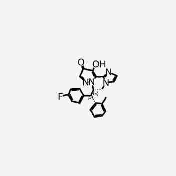 Cc1ccccc1[C@H](c1ccc(F)cc1)[C@H]1Cn2ccnc2-c2c(O)c(=O)cnn21